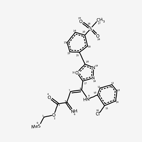 CSCOC(=O)C(=N)/C=C(\Nc1ccccc1Cl)c1nnc(-c2cccc(S(C)(=O)=O)c2)o1